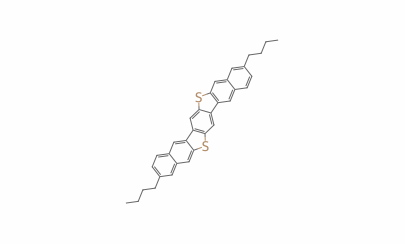 CCCCc1ccc2cc3c(cc2c1)sc1cc2c(cc13)sc1cc3cc(CCCC)ccc3cc12